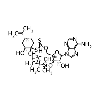 C=C(C)[C@@H]1CC[C@](C)(S[PH](=S)OC[C@H]2O[C@@H](n3cnc4c(N)ncnc43)[C@H](O)C2O[Si](C)(C)C(C)(C)C)[C@@H](O)C1